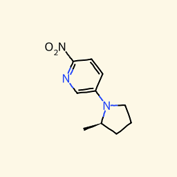 C[C@@H]1CCCN1c1ccc([N+](=O)[O-])nc1